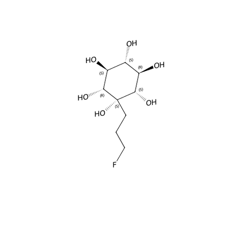 O[C@@H]1[C@@H](O)[C@H](O)[C@@](O)(CCCF)[C@H](O)[C@H]1O